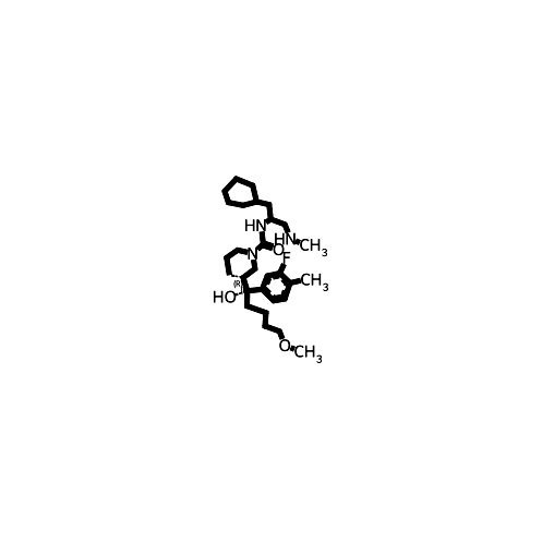 CNCC(CC1CCCCC1)NC(=O)N1CCC[C@@H]([C@](O)(CCCCOC)c2ccc(C)c(F)c2)C1